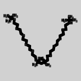 CC(C)(CCOCCOCCOCCOCCNC(C)(C)C)CC(C)(C)OCCOCCOCCOCCOCCOC(C)(C)C